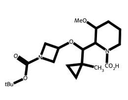 COC1CCCN(C(=O)O)C1C(OC1CN(C(=O)OC(C)(C)C)C1)C1(C)CC1